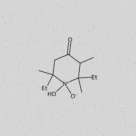 CCC1(C)CC(=O)C(C)C(C)(CC)[N+]1([O-])O